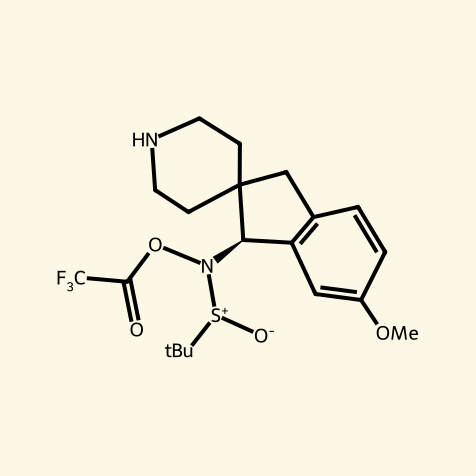 COc1ccc2c(c1)[C@@H](N(OC(=O)C(F)(F)F)[S+]([O-])C(C)(C)C)C1(CCNCC1)C2